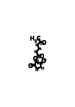 CC(=O)CCCC(=O)ON1C(=O)CCC1=O